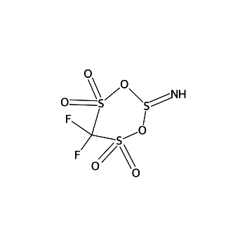 N=S1OS(=O)(=O)C(F)(F)S(=O)(=O)O1